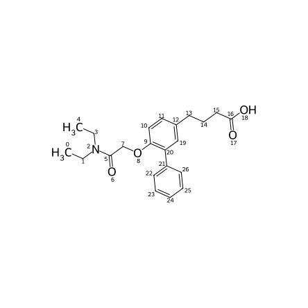 CCN(CC)C(=O)COc1ccc(CCCC(=O)O)cc1-c1ccccc1